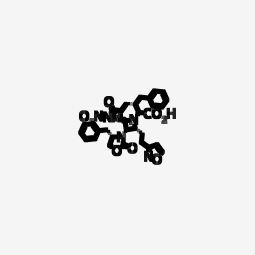 O=C(CC[C@H](Cc1ccccc1)C(C(=O)O)N1C(=O)[C@@H](N2C(=O)OC[C@@H]2Cc2ccccc2)[C@H]1CCc1ccon1)N[N+](=O)[O-]